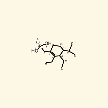 CCC1=C(CP(=O)(O)O)CCC(C(C)C)C1CC